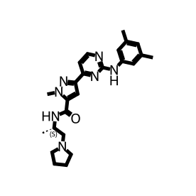 Cc1cc(C)cc(Nc2nccc(-c3cc(C(=O)N[C@@H](C)CN4CCCC4)n(C)n3)n2)c1